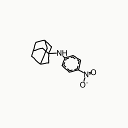 O=[N+]([O-])c1ccc(NC23CC4CC(CC(C4)C2)C3)cc1